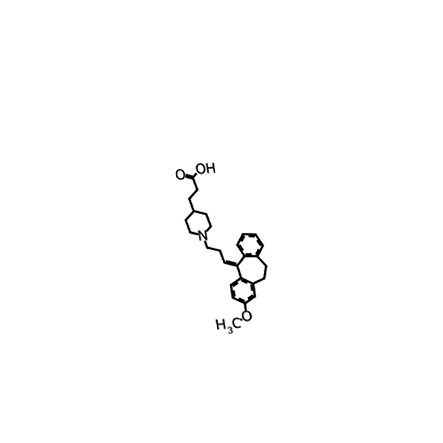 COc1ccc2c(c1)CCc1ccccc1C2=CCCN1CCC(CCC(=O)O)CC1